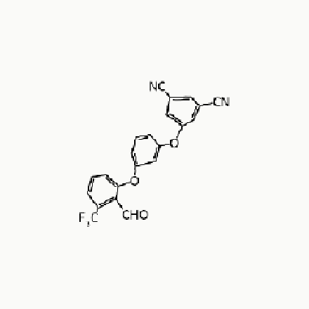 N#Cc1cc(C#N)cc(Oc2cccc(Oc3cccc(C(F)(F)F)c3C=O)c2)c1